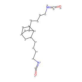 O=C=NCCCCC1CC2CCC1C(CCCCN=C=O)C2